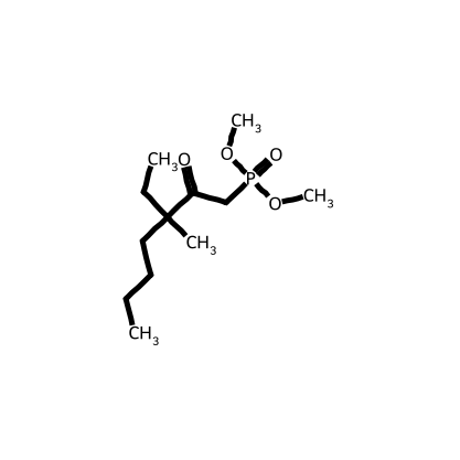 CCCCC(C)(CC)C(=O)CP(=O)(OC)OC